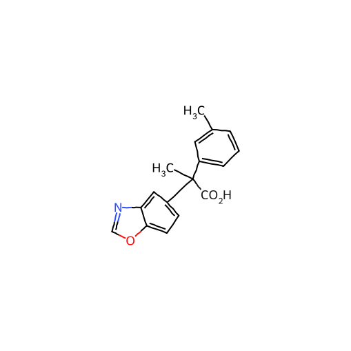 Cc1cccc(C(C)(C(=O)O)c2ccc3ocnc3c2)c1